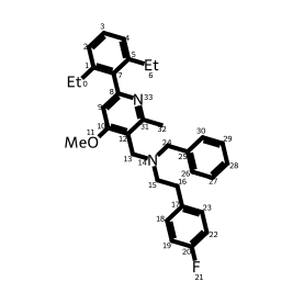 CCc1cccc(CC)c1-c1cc(OC)c(CN(CCc2ccc(F)cc2)Cc2ccccc2)c(C)n1